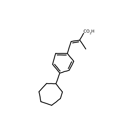 CC(=Cc1ccc(C2CCCCCC2)cc1)C(=O)O